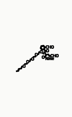 C/C=C/CCOCCOCCOCCOCCOc1cccc(C=O)c1C(=O)N(C)C(CCC=O)C(=O)NC